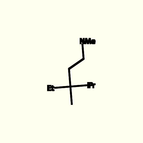 CCC(C)(CCNC)C(C)C